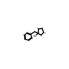 [O]C1(Cc2ccccc2)CCCC1